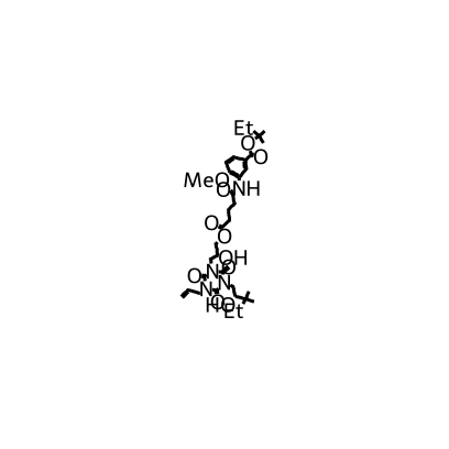 C=CCn1c(=O)n(CC(O)COC(=O)CCCC(=O)Nc2cc(C(=O)OC(C)(C)CC)ccc2OC)c(=O)n(CC(O)C(C)(C)CC)c1=O